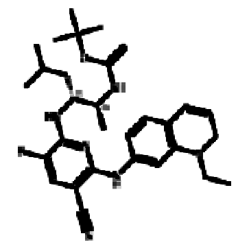 C=C(N[C@@H](C)[C@@H](CC(C)C)Nc1nc(Nc2ccc3c(c2)N(CC)CC=C3)c(C#N)cc1F)OC(C)(C)C